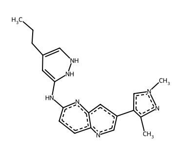 CCCC1=CNNC(Nc2ccc3ncc(-c4cn(C)nc4C)cc3n2)=C1